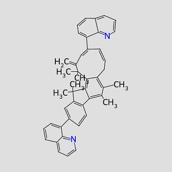 C=C1/C=C(c2cccc3cccnc23)\C=C/Cc2c(C)c(C)c3c(c2C1(C)C)C(C)(C)c1cc(-c2cccc4cccnc24)ccc1-3